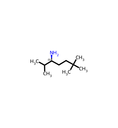 CC(C)[C@@H](N)CCC(C)(C)C